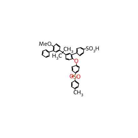 COc1ccc(C(C)(C)c2ccc(Oc3ccc(S(=O)(=O)c4ccc(C)cc4)cc3)c(-c3ccc(S(=O)(=O)O)cc3)c2)cc1-c1ccccc1